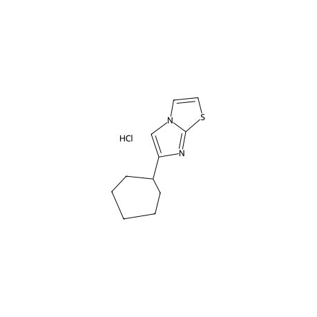 Cl.c1cn2cc(C3CCCCC3)nc2s1